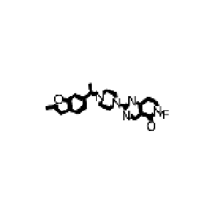 CC1Cc2ccc(C(C)N3CCN(c4ncc5c(n4)CCN(F)C5=O)CC3)cc2O1